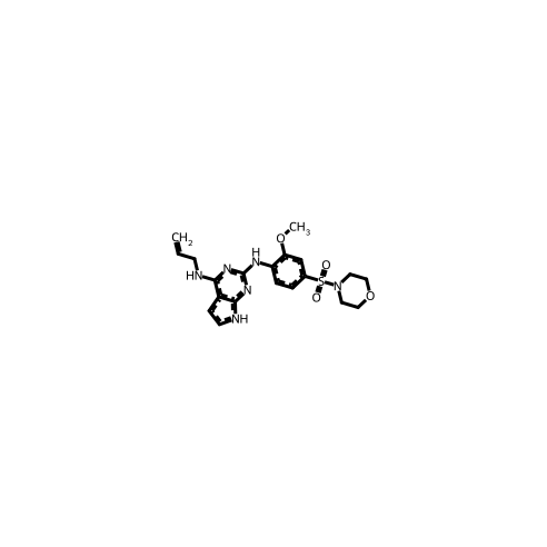 C=CCNc1nc(Nc2ccc(S(=O)(=O)N3CCOCC3)cc2OC)nc2[nH]ccc12